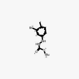 Cc1ccc(NNC(=O)OC(C)(C)C)cc1Br